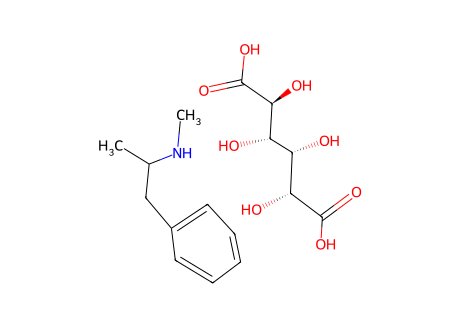 CNC(C)Cc1ccccc1.O=C(O)[C@@H](O)[C@@H](O)[C@H](O)[C@@H](O)C(=O)O